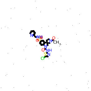 CC(=O)N1CCC2(C1)CN(C(=O)Nc1ncc(Cl)s1)c1ccc(S(=O)(=O)NCc3ccccn3)cc12